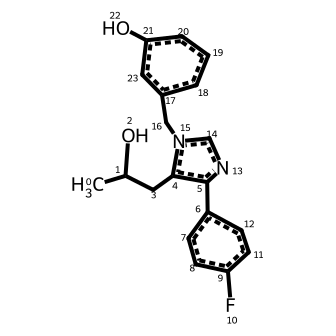 CC(O)Cc1c(-c2ccc(F)cc2)ncn1Cc1cccc(O)c1